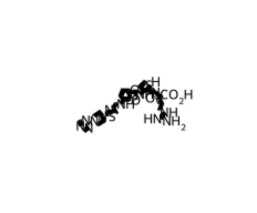 N=C(N)NCCC[C@H](NC(=O)c1sccc1NS(=O)(=O)c1cccc(NCc2csc(N3CCN(c4ncncn4)CC3)n2)c1)C(=O)O